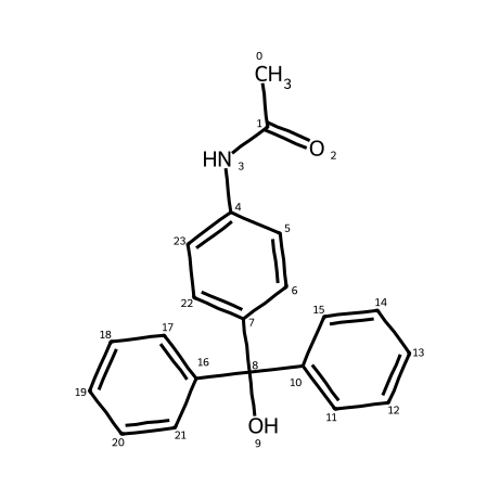 CC(=O)Nc1ccc(C(O)(c2ccccc2)c2ccccc2)cc1